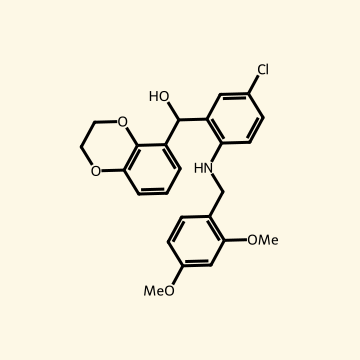 COc1ccc(CNc2ccc(Cl)cc2C(O)c2cccc3c2OCCO3)c(OC)c1